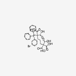 O=C(O)C(CCCC(C(=O)O)(C(=O)O)[P+](c1ccccc1)(c1ccccc1)c1ccccc1)(C(=O)O)C(=O)O.[Br-]